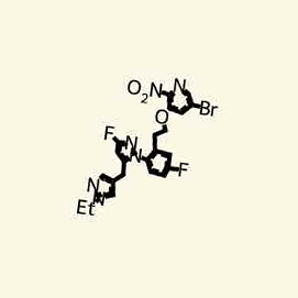 CCn1cc(Cc2cc(F)nn2-c2ccc(F)cc2CCOc2cc(Br)cnc2[N+](=O)[O-])cn1